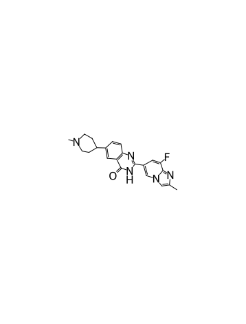 Cc1cn2cc(-c3nc4ccc(C5CCN(C)CC5)cc4c(=O)[nH]3)cc(F)c2n1